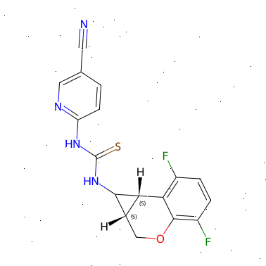 N#Cc1ccc(NC(=S)NC2[C@H]3COc4c(F)ccc(F)c4[C@@H]23)nc1